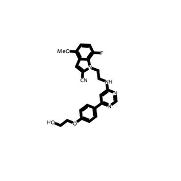 COc1ccc(F)c2c1cc(C#N)n2CCNc1cc(-c2ccc(OCCO)cc2)ncn1